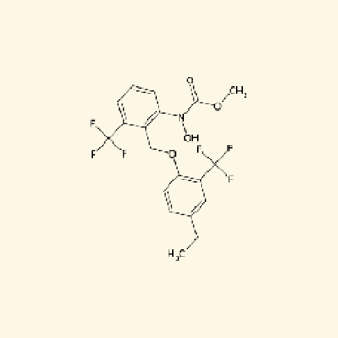 CCc1ccc(OCc2c(N(O)C(=O)OC)cccc2C(F)(F)F)c(C(F)(F)F)c1